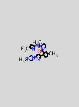 Cc1ccc(-c2ccc(N3CCN(C)CC3)nc2)c(C(=O)N2CCC[C@@H](C)[C@H]2CNc2ccc(C(F)(F)F)cn2)c1